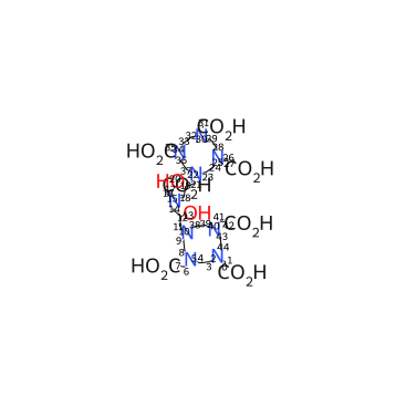 O=C(O)CN1CCN(CC(=O)O)CCN(CC(O)CN(CC(=O)O)CC(O)CN2CCN(CC(=O)O)CCN(C(=O)O)CCN(C(=O)O)CC2)CCN(CC(=O)O)CC1